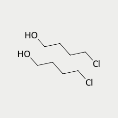 OCCCCCl.OCCCCCl